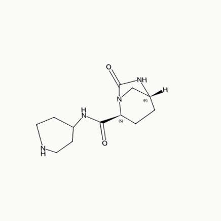 O=C(NC1CCNCC1)[C@@H]1CC[C@@H]2CN1C(=O)N2